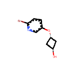 O[C@H]1C[C@H](Oc2ccc(Br)nc2)C1